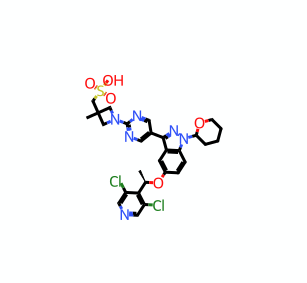 C[C@@H](Oc1ccc2c(c1)c(-c1cnc(N3CC(C)(CS(=O)(=O)O)C3)nc1)nn2C1CCCCO1)c1c(Cl)cncc1Cl